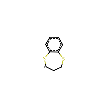 [C]1CCSc2ccccc2S1